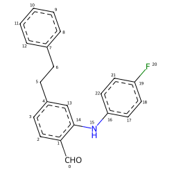 O=Cc1ccc(CCc2ccccc2)cc1Nc1ccc(F)cc1